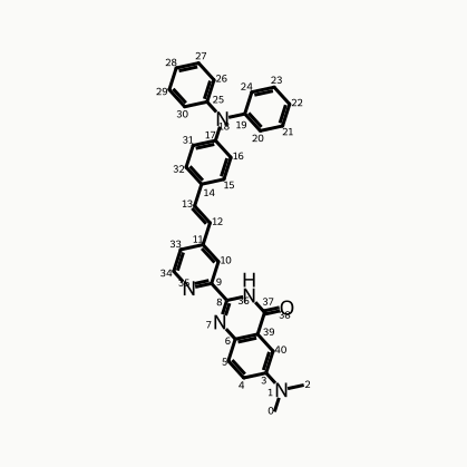 CN(C)c1ccc2nc(-c3cc(/C=C/c4ccc(N(c5ccccc5)c5ccccc5)cc4)ccn3)[nH]c(=O)c2c1